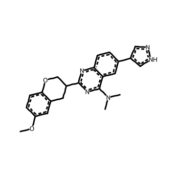 COc1ccc2c(c1)CC(c1nc(N(C)C)c3cc(-c4cn[nH]c4)ccc3n1)CO2